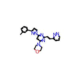 Cc1cccc(-c2ccn(-c3cc(N4CCOCC4)nc(/C=C/c4cccnn4)n3)n2)c1